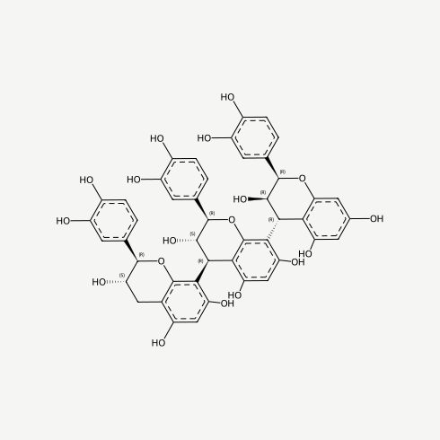 Oc1cc(O)c2c(c1)O[C@H](c1ccc(O)c(O)c1)[C@H](O)[C@H]2c1c(O)cc(O)c2c1O[C@H](c1ccc(O)c(O)c1)[C@@H](O)[C@@H]2c1c(O)cc(O)c2c1O[C@H](c1ccc(O)c(O)c1)[C@@H](O)C2